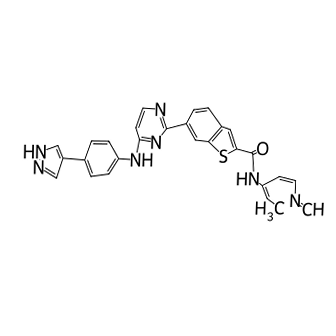 C=N/C=C\C(=C/C)NC(=O)c1cc2ccc(-c3nccc(Nc4ccc(-c5cn[nH]c5)cc4)n3)cc2s1